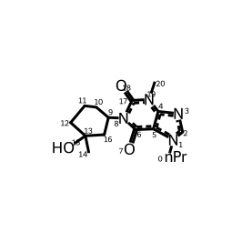 CCCn1cnc2c1c(=O)n(C1CCCC(C)(O)C1)c(=O)n2C